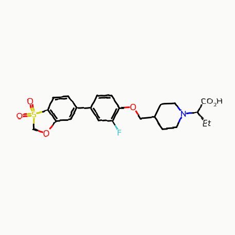 CCC(C(=O)O)N1CCC(COc2ccc(-c3ccc4c(c3)OCS4(=O)=O)cc2F)CC1